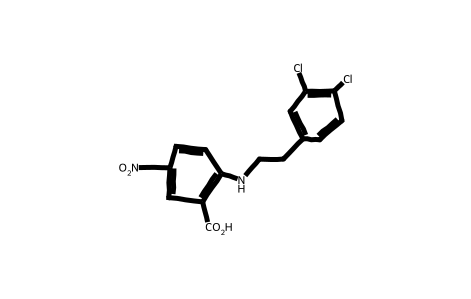 O=C(O)c1cc([N+](=O)[O-])ccc1NCCc1ccc(Cl)c(Cl)c1